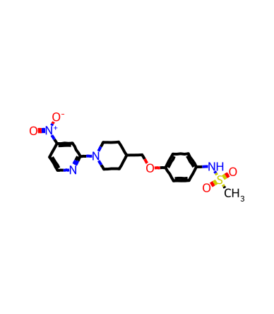 CS(=O)(=O)Nc1ccc(OCC2CCN(c3cc([N+](=O)[O-])ccn3)CC2)cc1